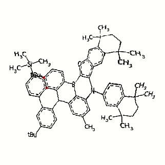 Cc1cc2c3c(c1)N(c1ccc4c(c1)C(C)(C)CCC4(C)C)c1c(oc4cc5c(cc14)C(C)(C)CCC5(C)C)B3c1ccc(C(C)(C)C)cc1C2c1ccc(C(C)(C)C)cc1-c1ccc([Si](C)(C)C)cc1